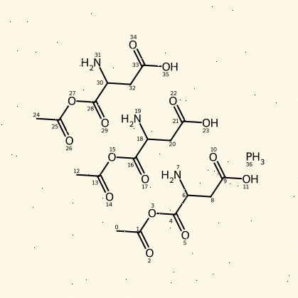 CC(=O)OC(=O)C(N)CC(=O)O.CC(=O)OC(=O)C(N)CC(=O)O.CC(=O)OC(=O)C(N)CC(=O)O.P